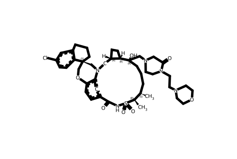 C[C@@H]1[C@@H](C)CCC[C@](O)(CN2CCN(CCN3CCOCC3)C(=O)C2)[C@@H]2CC[C@H]2CN2C[C@@]3(CCCc4cc(Cl)ccc43)COc3ccc(cc32)C(=O)NS1(=O)=O